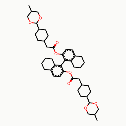 CC1COC(C2CCC(CC(=O)Oc3ccc4c(c3-c3c(OC(=O)CC5CCC(C6OCC(C)CO6)CC5)ccc5c3CCCC5)CCCC4)CC2)OC1